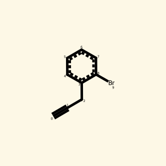 C#C[CH]c1ccccc1Br